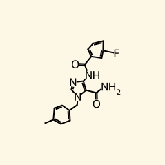 Cc1ccc(Cn2cnc(NC(=O)c3cccc(F)c3)c2C(N)=O)cc1